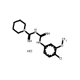 Cl.N=C(NC(=N)N1CCCCC1)Nc1ccc(Cl)c(OC(F)(F)F)c1